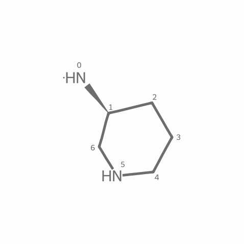 [NH][C@H]1CCCNC1